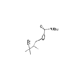 CCC(C)(C)C(C)COC(=O)C(C)(C)C